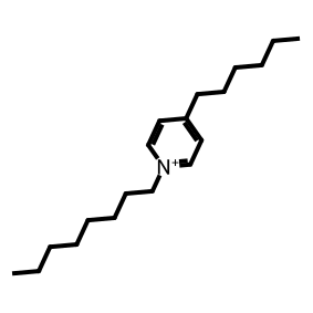 CCCCCCCC[n+]1ccc(CCCCCC)cc1